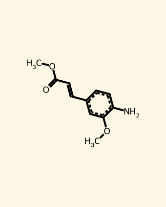 COC(=O)C=Cc1ccc(N)c(OC)c1